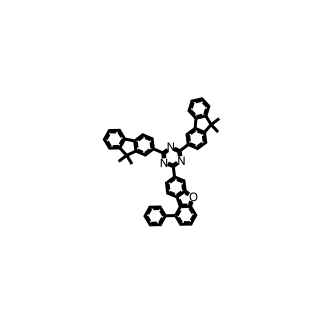 CC1(C)c2ccccc2-c2cc(-c3nc(-c4ccc5c(c4)C(C)(C)c4ccccc4-5)nc(-c4ccc5c(c4)oc4cccc(-c6ccccc6)c45)n3)ccc21